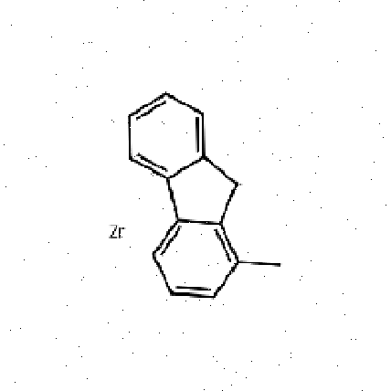 Cc1cccc2c1[CH]c1ccccc1-2.[Zr]